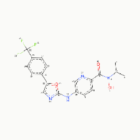 CC(C)N(O)C(=O)c1ccc(Nc2ncc(-c3ccc(C(F)(F)F)cc3)o2)cn1